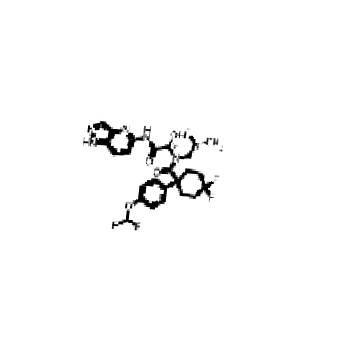 C[C@@H](F)CN(C(=O)C1(c2ccc(OC(F)F)cc2)CCC(F)(F)CC1)[C@H](O)C(=O)Nc1ccc2[nH]ncc2n1